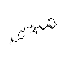 CN(C)CC1CCC(Cc2nc(C=Cc3ccccc3)no2)CC1